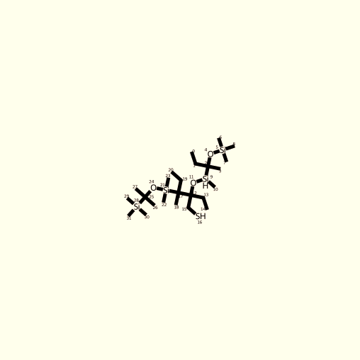 CCC(C)(O[Si](C)(C)C)[SiH](C)OC(CC)(CS)C(C)(CC)[Si](C)(C)OC(C)(C)[Si](C)(C)C